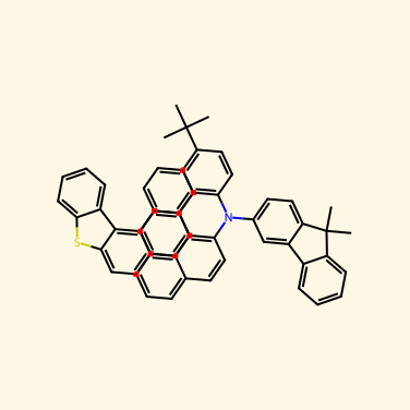 CC(C)(C)c1ccc(N(c2ccc3c(c2)-c2ccccc2C3(C)C)c2ccc3ccccc3c2-c2ccccc2-c2cccc3sc4ccccc4c23)c(-c2ccccc2)c1